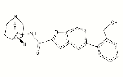 O=C(N[C@H]1CN2CCC1CC2)c1cc2cc(-c3ccccc3CO)ccc2o1